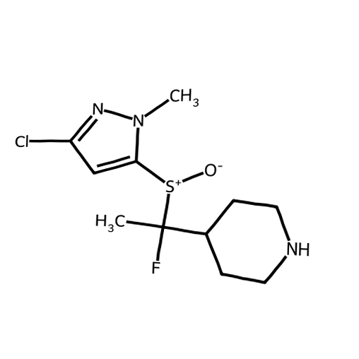 Cn1nc(Cl)cc1[S+]([O-])C(C)(F)C1CCNCC1